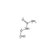 NC(=O)NOC=O